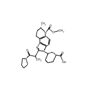 COC(=O)N1c2ccc3c(nc(C(C)C(=O)N4CCCC4)n3C3CCCC(C(=O)O)C3)c2CC[C@@H]1C